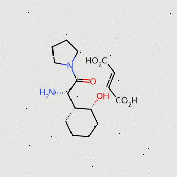 N[C@H](C(=O)N1CCCC1)[C@H]1CCCC[C@H]1O.O=C(O)/C=C/C(=O)O